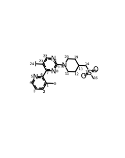 Cc1cccnc1-c1nc(N2CCC(CS(C)(=O)=O)CC2)ncc1I